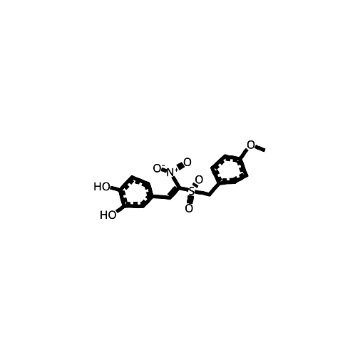 COc1ccc(CS(=O)(=O)/C(=C/c2ccc(O)c(O)c2)[N+](=O)[O-])cc1